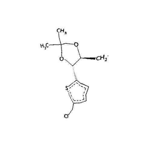 [CH2][C@@H]1OC(C)(C)O[C@H]1c1ccc(Cl)s1